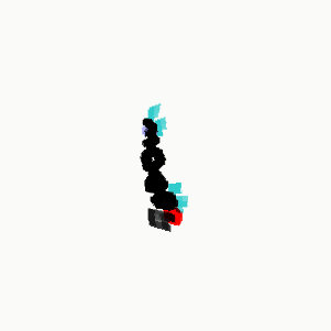 CCOc1ccc(-c2ccc(C3CCC(CC/C=C(\F)CF)CC3)cc2)c(F)c1F